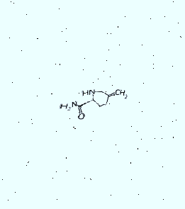 C=C1CC[C@@H](C(N)=O)NC1